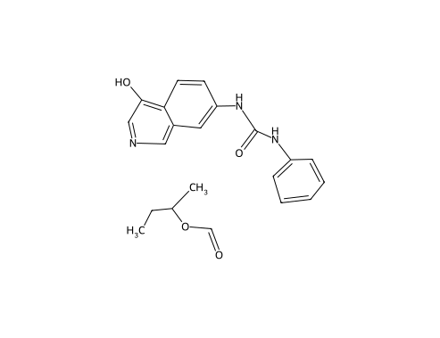 CCC(C)OC=O.O=C(Nc1ccccc1)Nc1ccc2c(O)cncc2c1